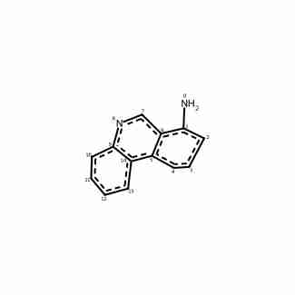 Nc1cccc2c1cnc1ccccc12